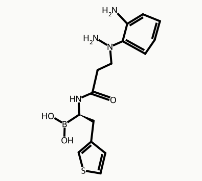 Nc1ccccc1N(N)CCC(=O)N[C@@H](Cc1ccsc1)B(O)O